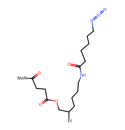 CCC(CCCCNC(=O)CCCCCN=[N+]=[N-])COC(=O)CCC(=O)NC